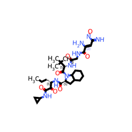 CCC[C@H](NC(=O)[C@@H]1CC2CCCCC2N1C(=O)[C@@H](NC(=O)CNC(=O)/C(N)=C/C(=N)N=O)C(C)(C)C)C(=O)C(=O)NC1CC1